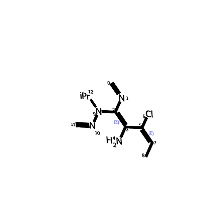 C=N/C(=C(N)\C(Cl)=C/C)N(N=C)C(C)C